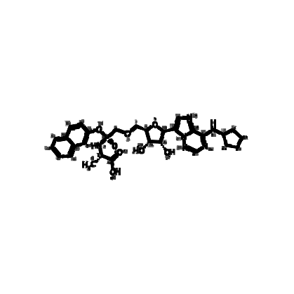 C[C@H](NP(=O)(COC[C@H]1O[C@@H](c2cnc3c(NC4CCCC4)ncnn23)[C@H](O)[C@@H]1O)Oc1ccc2ccccc2c1)C(=O)O